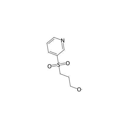 [O]CCCS(=O)(=O)c1cccnc1